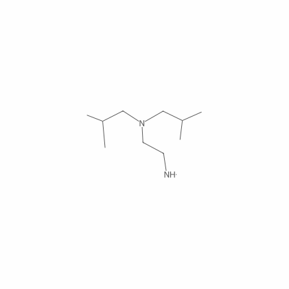 CC(C)CN(CC[NH])CC(C)C